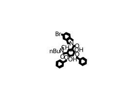 CCCCN(C)C(=O)C1C=C(C(=O)N2Cc3ccc(Br)cc3C2)C(O)(OCc2ccccc2)CC1(O)OCc1ccccc1